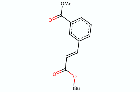 COC(=O)c1cccc(C=CC(=O)OC(C)(C)C)c1